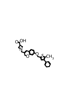 Cc1sc(COc2ccc3c(c2)OCC(CN2CC(C(=O)O)C2)=C3)cc1C1=CCCC=C1